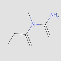 C=C(N)N(C)C(=C)CC